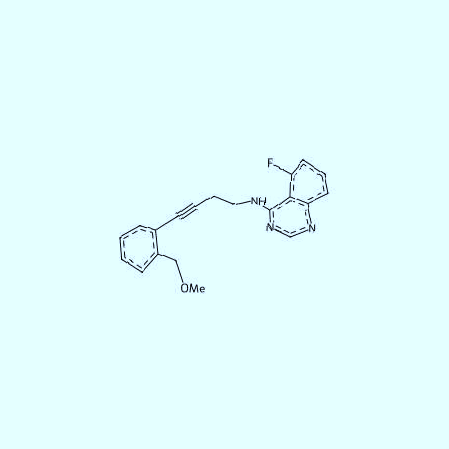 COCc1ccccc1C#CCCNc1ncnc2cccc(F)c12